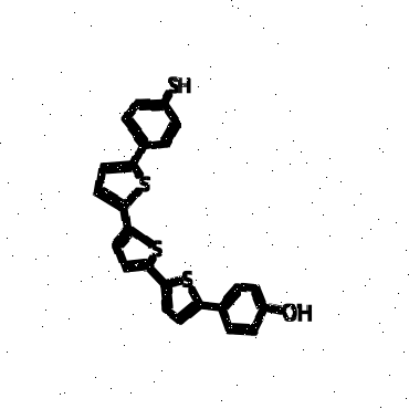 Oc1ccc(-c2ccc(-c3ccc(-c4ccc(-c5ccc(S)cc5)s4)s3)s2)cc1